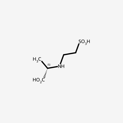 C[C@H](NCCS(=O)(=O)O)C(=O)O